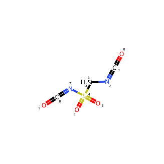 O=C=N[SiH2]S(=O)(=O)N=C=O